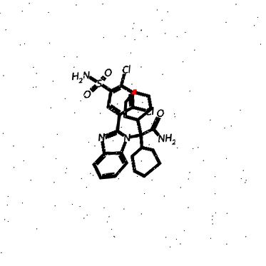 NC(=O)C(C1CCCCC1)(C1CCCCC1)n1c(-c2cc(S(N)(=O)=O)c(Cl)cc2Cl)nc2ccccc21